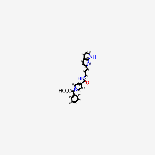 O=C(NCCCc1ccc2c(n1)NCCC2)C1CCN(C(C(=O)O)c2ccccc2)CC1